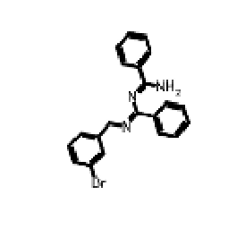 N/C(=N\C(=N/Cc1cccc(Br)c1)c1ccccc1)c1ccccc1